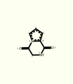 O=C1NCC(=O)n2cccc21